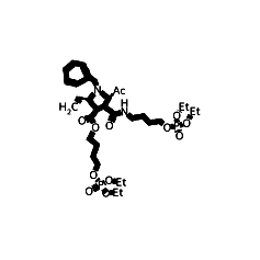 C=C[C@@H]1C(C(=O)OCCCCOP(=O)(OCC)OCC)C(C(=O)NCCCCOP(=O)(OCC)OCC)[C@H](C(C)=O)N1Cc1ccccc1